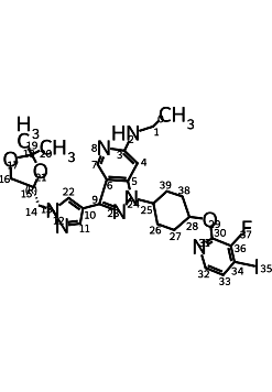 CCNc1cc2c(cn1)c(-c1cnn(C[C@@H]3COC(C)(C)O3)c1)nn2C1CCC(Oc2nccc(I)c2F)CC1